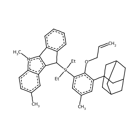 C=CCOc1c(C23CC4CC(CC(C4)C2)C3)cc(C)cc1[Si](CC)(CC)C1c2ccccc2-c2c1c1cc(C)ccc1n2C